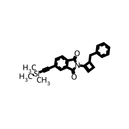 C[Si](C)(C)C#Cc1ccc2c(c1)C(=O)N(C1=CCC1Cc1ccccc1)C2=O